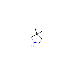 CC1(C)CNC[C@H]1O.Cl